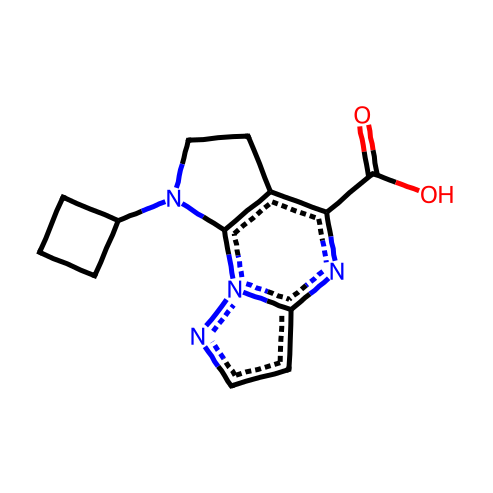 O=C(O)c1nc2ccnn2c2c1CCN2C1CCC1